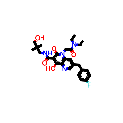 CCN(CC)C(=O)Cn1c(=O)c(C(=O)NCC(C)(C)CO)c(O)c2ncc(Cc3ccc(F)cc3)cc21